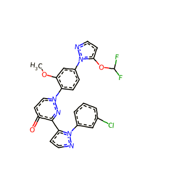 COc1cc(-n2nccc2OC(F)F)ccc1-n1ccc(=O)c(-c2ccnn2-c2cccc(Cl)c2)n1